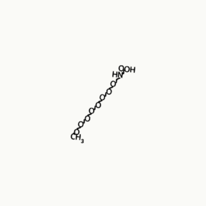 CCOCCOCCOCCOCCOCCOCCOCCOCCCNCC(=O)O